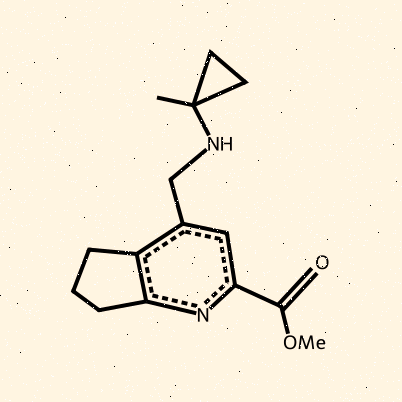 COC(=O)c1cc(CNC2(C)CC2)c2c(n1)CCC2